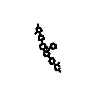 CC1=CCC(c2ccc(-c3ccc4c5ccc(-c6ccc(C(/C=C\C(C)C)=C(C)C)cc6)cc5n(-c5ccccc5)c4c3)cc2)C(C)=C1